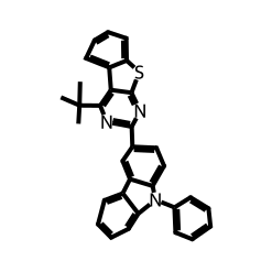 CC(C)(C)c1nc(-c2ccc3c(c2)c2ccccc2n3-c2ccccc2)nc2sc3ccccc3c12